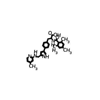 Cc1ccnc(NCc2cc(-c3ccc(CC(NC(=O)c4c(C)cc(C)cc4C)C(=O)O)cc3)c[nH]2)c1